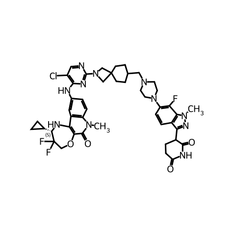 Cn1nc(C2CCC(=O)NC2=O)c2ccc(N3CCN(CC4CCC5(CC4)CN(c4ncc(Cl)c(Nc6ccc7c(c6)c6c(c(=O)n7C)OCC(F)(F)[C@H](C7CC7)N6)n4)C5)CC3)c(F)c21